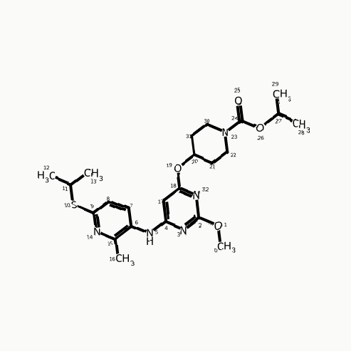 COc1nc(Nc2ccc(SC(C)C)nc2C)cc(OC2CCN(C(=O)OC(C)C)CC2)n1